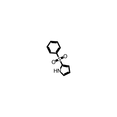 O=S(=O)(c1ccccc1)c1ccc[nH]1